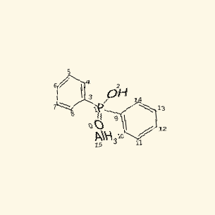 O=P(O)(c1ccccc1)c1ccccc1.[AlH3]